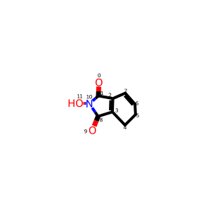 O=C1C2=C(CCC=C2)C(=O)N1O